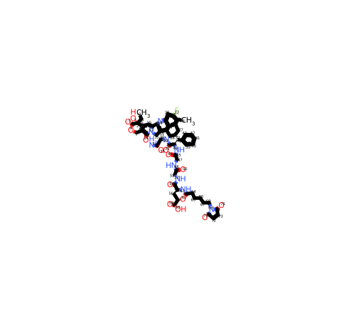 CC[C@@]1(O)C(=O)OCc2c1cc1n(c2=O)Cc2c-1nc1cc(F)c(C)c3c1c2[C@@H](N(CC(N)=O)C(=O)[C@H](Cc1ccccc1)NC(=O)CNC(=O)CNC(=O)[C@H](CCC(=O)O)NC(=O)CCCCCN1C(=O)C=CC1=O)CC3